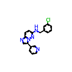 Clc1cccc(CNc2ccc3ncc(-c4cccnc4)n3n2)c1